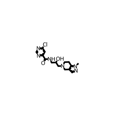 Cn1ncc2c1CCN(CC(O)CNC(=O)c1cc(Cl)ncn1)C2